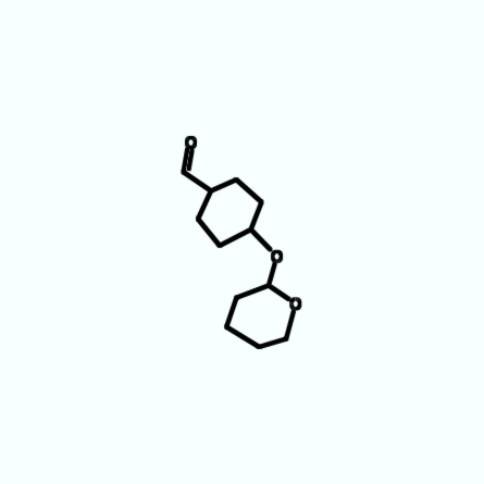 O=CC1CCC(OC2CCCCO2)CC1